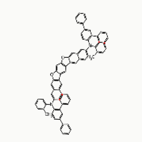 Cc1ccccc1N(c1ccc2cc3c(cc2c1)oc1cc2oc4cc5cc(N(c6ccccc6C)c6ccc(-c7ccccc7)cc6-c6ccccc6)ccc5cc4c2cc13)c1ccc(-c2ccccc2)cc1-c1ccccc1